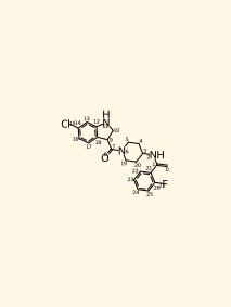 C=C(NC1CCN(C(=O)C2CNc3cc(Cl)ccc32)CC1)c1ccccc1F